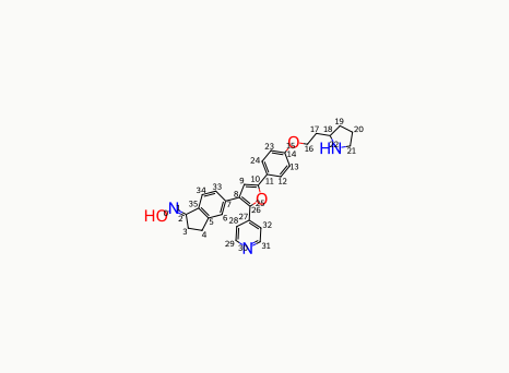 ON=C1CCc2cc(-c3cc(-c4ccc(OCCC5CCCN5)cc4)oc3-c3ccncc3)ccc21